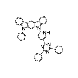 C1=CC(n2c3ccccc3c3cc4c5ccccc5n(-c5ccccc5)c4cc32)NC=C1c1nc(-c2ccccc2)nc(-c2ccccc2)n1